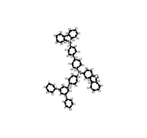 c1ccc(-c2cc(-c3ccccc3)cc(-c3ccc(N(c4ccc(-c5ccc(-n6c7ccccc7c7ccccc76)cc5)cc4)c4ccc5oc6ccccc6c5c4)cc3)c2)cc1